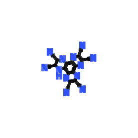 N#CC1=Nc2c(c3nc(C#N)c(C#N)nc3c3nc(C#N)c(C#N)nc23)NC1C#N